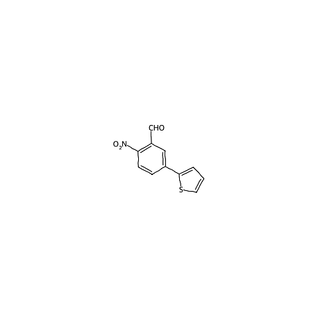 O=Cc1cc(-c2cccs2)ccc1[N+](=O)[O-]